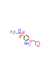 Nc1cc(S(=O)(=O)NCC(F)(F)F)ccc1OCC1CCOC1